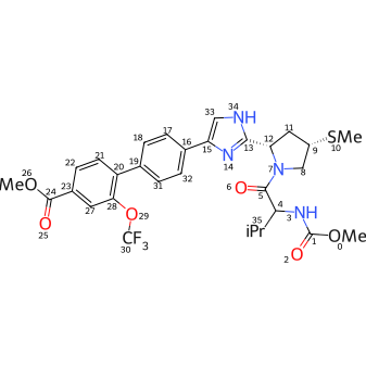 COC(=O)NC(C(=O)N1C[C@@H](SC)C[C@H]1c1nc(-c2ccc(-c3ccc(C(=O)OC)cc3OC(F)(F)F)cc2)c[nH]1)C(C)C